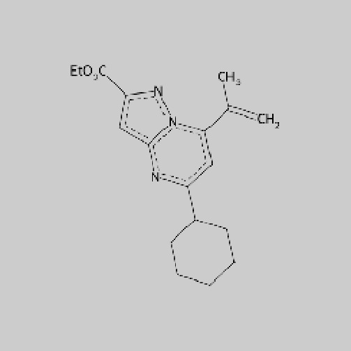 C=C(C)c1cc(C2CCCCC2)nc2cc(C(=O)OCC)nn12